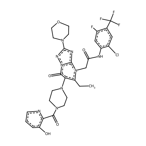 CCc1c(N2CCN(C(=O)c3ncccc3O)CC2)c(=O)n2nc(N3CCOCC3)nc2n1CC(=O)Nc1cc(F)c(C(F)(F)F)cc1Cl